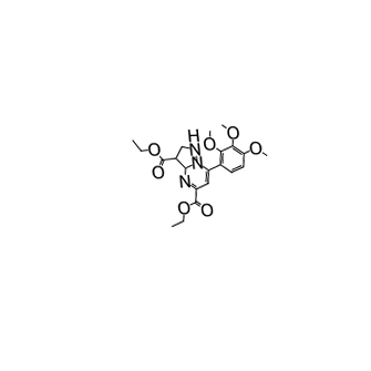 CCOC(=O)C1=NC2C(C(=O)OCC)CNN2C(c2ccc(OC)c(OC)c2OC)=C1